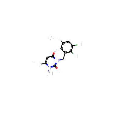 COc1cc(Cl)c(Cl)c(Cn2c(=O)cc(C(F)(F)F)n(C)c2=O)c1